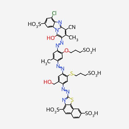 Cc1cc(N=Nc2c(C)c(C#N)c3nc4c(Cl)cc(S(=O)(=O)O)cc4n3c2O)c(OCCCS(=O)(=O)O)cc1N=Nc1cc(CO)c(N=Nc2nc3c(S(=O)(=O)O)cc4ccc(S(=O)(=O)O)cc4c3s2)cc1SCCCS(=O)(=O)O